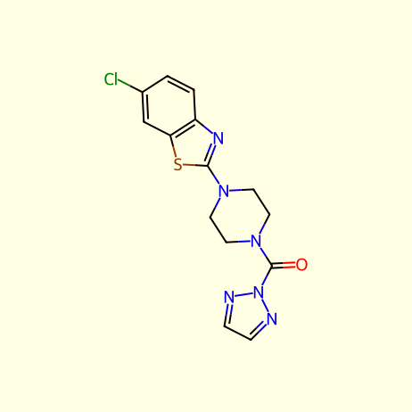 O=C(N1CCN(c2nc3ccc(Cl)cc3s2)CC1)n1nccn1